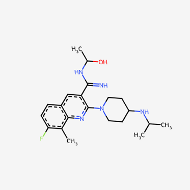 Cc1c(F)ccc2cc(C(=N)NC(C)O)c(N3CCC(NC(C)C)CC3)nc12